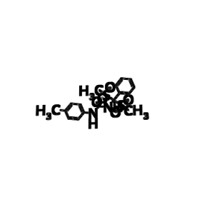 Cc1ccc(NC(=O)NC(c2ccccc2)(S(C)(=O)=O)S(C)(=O)=O)cc1